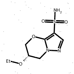 CCO[C@@H]1COc2c(S(N)(=O)=O)cnn2C1